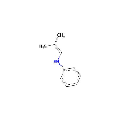 CC(C)=CNc1cc[c]cc1